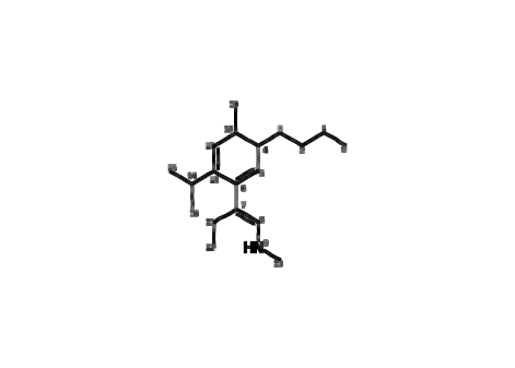 CCCCC1C=C(/C(=C/NC)CC)C(C(C)C)=CC1C